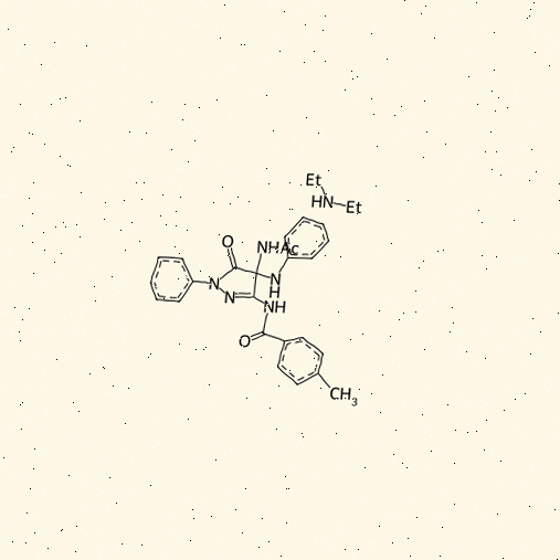 CC(=O)NC1(Nc2ccccc2)C(=O)N(c2ccccc2)N=C1NC(=O)c1ccc(C)cc1.CCNCC